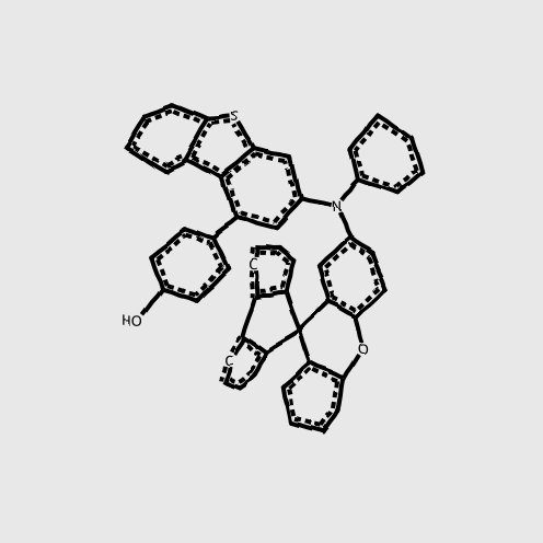 Oc1ccc(-c2cc(N(c3ccccc3)c3ccc4c(c3)C3(c5ccccc5O4)c4ccccc4-c4ccccc43)cc3sc4ccccc4c23)cc1